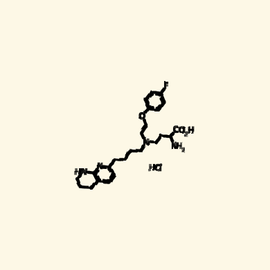 Cl.NC(CCN(CCCCc1ccc2c(n1)NCCC2)CCOc1ccc(F)cc1)C(=O)O